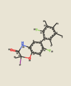 Cc1c(C)c(C)c(-c2cc3c(cc2F)OC(C)(I)C(=O)N3)c(F)c1C